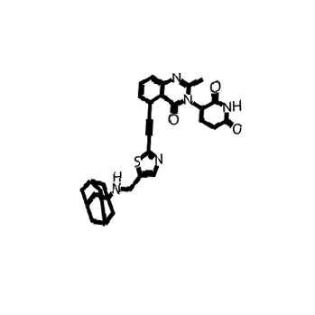 CC1=NC2=CC=CC(C#Cc3ncc(CNC45CC6CC(CC(C6)C4)C5)s3)C2C(=O)N1C1CCC(=O)NC1=O